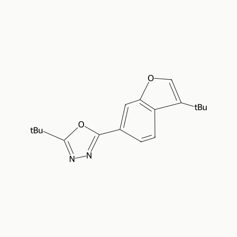 CC(C)(C)c1nnc(-c2ccc3c(C(C)(C)C)coc3c2)o1